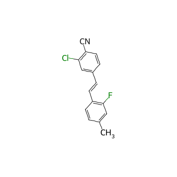 Cc1ccc(/C=C/c2ccc(C#N)c(Cl)c2)c(F)c1